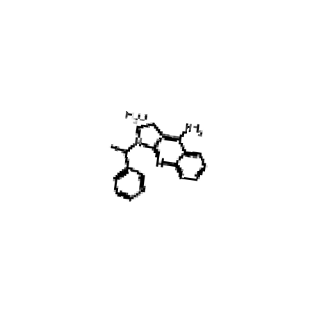 CC(c1ccccc1)N1CCc2c1nc1ccccc1c2N.O